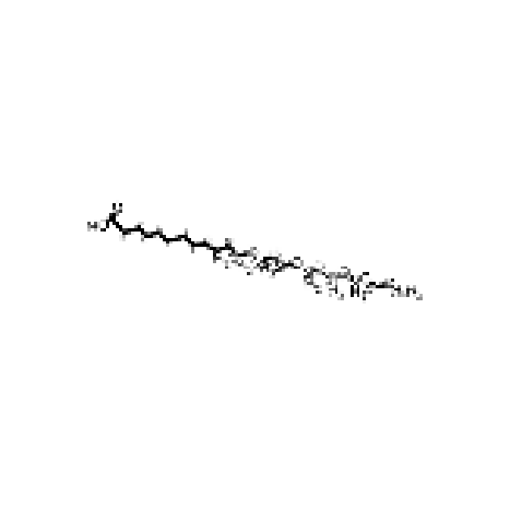 O=C(O)CCCCCCCCCC[SiH2]O[SiH2]O[SiH2]O[SiH2]O[SiH2]O[SiH2]O[SiH2]O[SiH3]